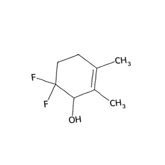 CC1=C(C)C(O)C(F)(F)CC1